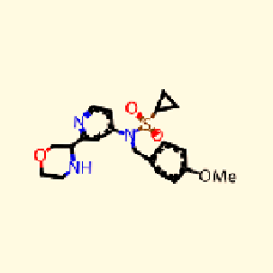 COc1ccc(CN(c2ccnc(C3COCCN3)c2)S(=O)(=O)C2CC2)cc1